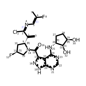 C=C(/C(Cl)=N\C=C(/C)F)[C@H]1C[C@H](F)CN1C(=O)c1n[nH]c2ncnc(N[C@@H]3CC[C@@H](O)[C@H]3O)c12